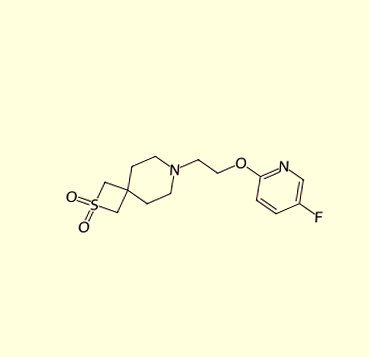 O=S1(=O)CC2(CCN(CCOc3ccc(F)cn3)CC2)C1